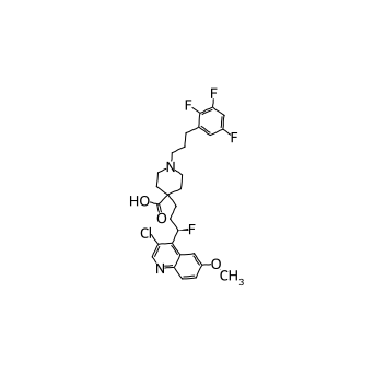 COc1ccc2ncc(Cl)c([C@H](F)CCC3(C(=O)O)CCN(CCCc4cc(F)cc(F)c4F)CC3)c2c1